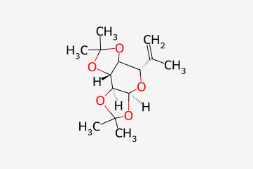 C=C(C)[C@@H]1O[C@H]2OC(C)(C)O[C@H]2[C@@H]2OC(C)(C)OC21